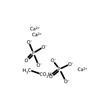 CC(=O)O.O=P([O-])([O-])[O-].O=P([O-])([O-])[O-].[Ca+2].[Ca+2].[Ca+2]